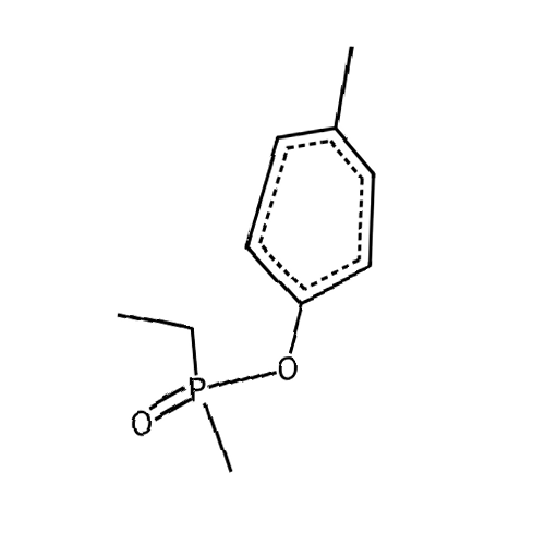 CCP(C)(=O)Oc1ccc(C)cc1